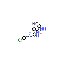 N#Cc1ccc2c(c1)/C(=C(/Nc1ccc(CNCCc3ccc(Cl)cc3)cc1)c1ccccc1)C(=O)N2